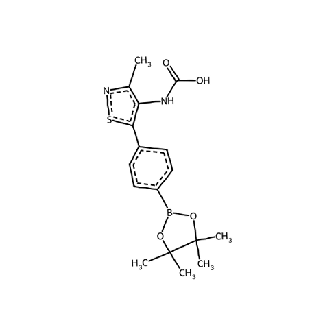 Cc1nsc(-c2ccc(B3OC(C)(C)C(C)(C)O3)cc2)c1NC(=O)O